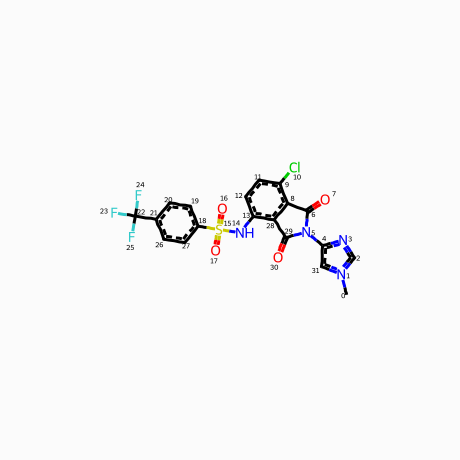 Cn1cnc(N2C(=O)c3c(Cl)ccc(NS(=O)(=O)c4ccc(C(F)(F)F)cc4)c3C2=O)c1